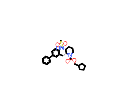 CS(=O)(=O)N[C@@H]1CCCN(C(=O)OCC2CCCC2)[C@@H]1Cc1cccc(-c2ccccc2)c1